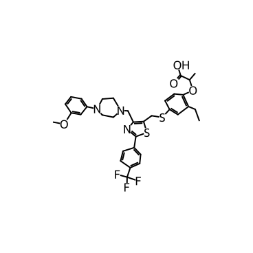 CCc1cc(SCc2sc(-c3ccc(C(F)(F)F)cc3)nc2CN2CCN(c3cccc(OC)c3)CC2)ccc1OC(C)C(=O)O